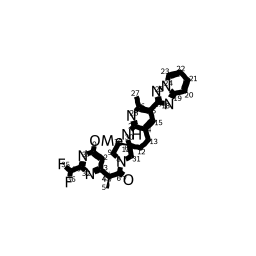 COc1cc([C@H](C)C(=O)N2CC[C@@]3(CCc4cc(-c5nc6ccccn6n5)c(C)nc4N3)C2)nc(C(F)F)n1